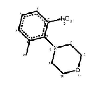 Cc1cccc([N+](=O)[O-])c1N1CCOCC1